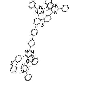 c1ccc(-c2nc(-c3ccccc3)nc(-c3cccc4sc5ccc(-c6nc(-c7ccc(-c8ccc(-c9ccc(-c%10nc(-c%11ccccc%11)nc(-c%11ccccc%11)n%10)c%10c9sc9ccc(-c%11nc(-c%12ccccc%12)nc%12c%11oc%11ccccc%11%12)cc9%10)cc8)cc7)nc7c6oc6ccccc67)cc5c34)n2)cc1